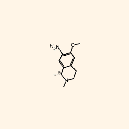 COc1cc2c(cc1N)[C@@H](C)N(C)CC2